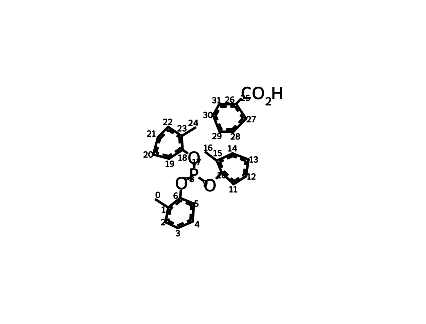 Cc1ccccc1OP(Oc1ccccc1C)Oc1ccccc1C.O=C(O)c1ccccc1